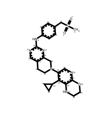 CS(=O)(=O)Cc1ccc(Nc2ncc3c(n2)CN(c2cnc4c(c2C2CC2)NCCO4)CC3)cc1